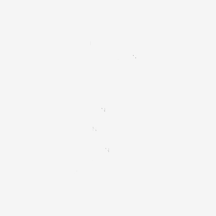 Cn1cc(C2CCC(N3CCN(c4ccc(Cl)c5cccnc45)CC3)CC2)c2cc(F)ccc21